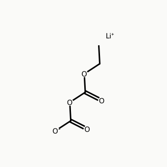 CCOC(=O)OC(=O)[O-].[Li+]